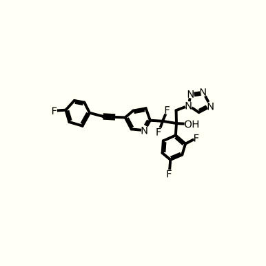 OC(Cn1cnnn1)(c1ccc(F)cc1F)C(F)(F)c1ccc(C#Cc2ccc(F)cc2)cn1